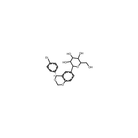 CCc1ccc([C@H]2OCOc3ccc(C4OC(CO)C(O)C(O)C4O)cc32)cc1